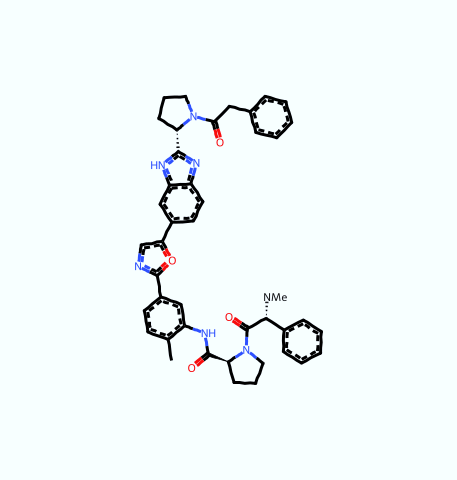 CN[C@@H](C(=O)N1CCC[C@H]1C(=O)Nc1cc(-c2ncc(-c3ccc4nc([C@@H]5CCCN5C(=O)Cc5ccccc5)[nH]c4c3)o2)ccc1C)c1ccccc1